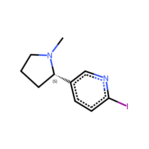 CN1CCC[C@H]1c1ccc(I)nc1